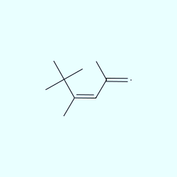 [CH]=C(C)C=C(C)C(C)(C)C